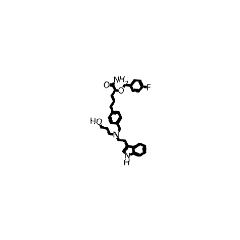 NC(=O)C(CCCc1ccc(CN(CCCO)CCc2c[nH]c3ccccc23)cc1)OCc1ccc(F)cc1